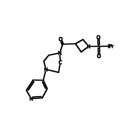 CC(C)S(=O)(=O)N1CC(C(=O)N2CCN(c3ccncc3)CC2)C1